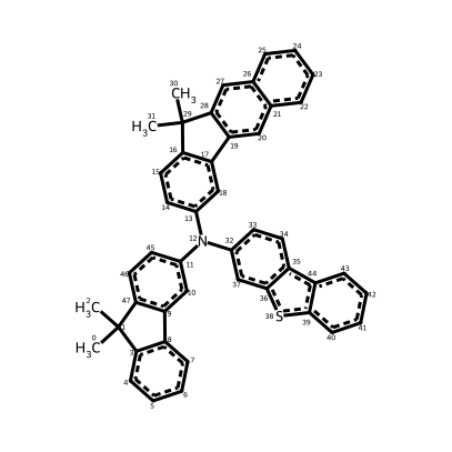 CC1(C)c2ccccc2-c2cc(N(c3ccc4c(c3)-c3cc5ccccc5cc3C4(C)C)c3ccc4c(c3)sc3ccccc34)ccc21